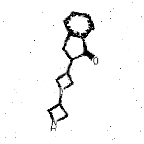 O=C1c2ccccc2CC1C1CN(C2CNC2)C1